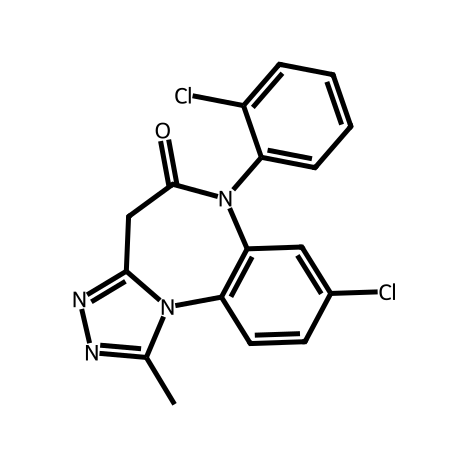 Cc1nnc2n1-c1ccc(Cl)cc1N(c1ccccc1Cl)C(=O)C2